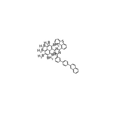 Bc1c(B)c(B)c2c(-c3nc(-c4cccc(-c5ccc(-c6ccc7ccccc7c6)cc5)c4)nc(-c4cccc5sc6ccccc6c45)n3)c(B)c(B)c(B)c2c1B